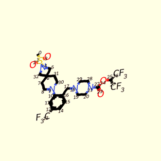 CS(=O)(=O)N1CC2(CCN(c3cc(C(F)(F)F)ccc3CN3CCN(C(=O)OC(C(F)(F)F)C(F)(F)F)CC3)CC2)C1